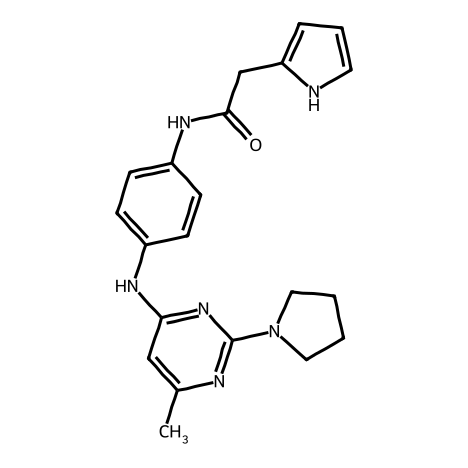 Cc1cc(Nc2ccc(NC(=O)Cc3ccc[nH]3)cc2)nc(N2CCCC2)n1